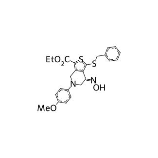 CCOC(=O)c1sc(SCc2ccccc2)c2c1CN(c1ccc(OC)cc1)C/C2=N\O